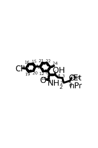 CCC[C@H](CCC/C(O)=C(\C(N)=O)c1cc(-c2ccc(Cl)cc2)ccc1C)OCC